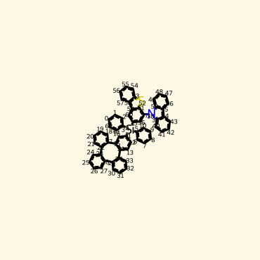 c1ccc([Si](c2ccccc2)(c2ccc3c(c2)-c2ccccc2-c2ccccc2-c2ccccc2-3)c2cc(-n3c4ccccc4c4ccccc43)c3sc4ccccc4c3c2)cc1